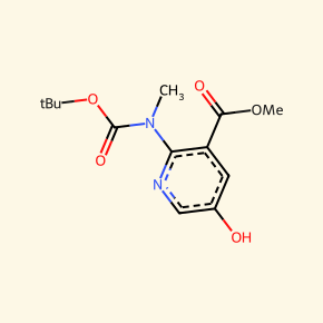 COC(=O)c1cc(O)cnc1N(C)C(=O)OC(C)(C)C